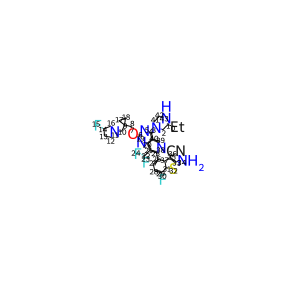 CCC1CN(c2nc(OCC3(CN4CC[C@@H](F)C4)CC3)nc3c(C(F)F)c(C4=CC=C(F)C5SC(N)=C(C#N)C45)ncc23)CCN1